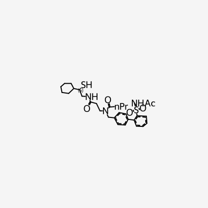 CCCC(=O)N(CCC(=O)NC[C@@H](S)C1CCCCC1)Cc1ccc(-c2ccccc2S(=O)(=O)NC(C)=O)cc1